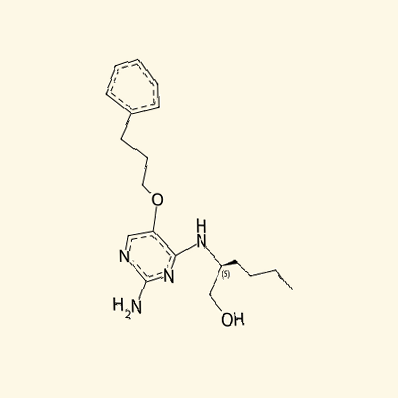 CCCC[C@@H](CO)Nc1nc(N)ncc1OCCCc1ccccc1